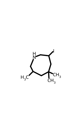 CC1CNCC(I)CC(C)(C)C1